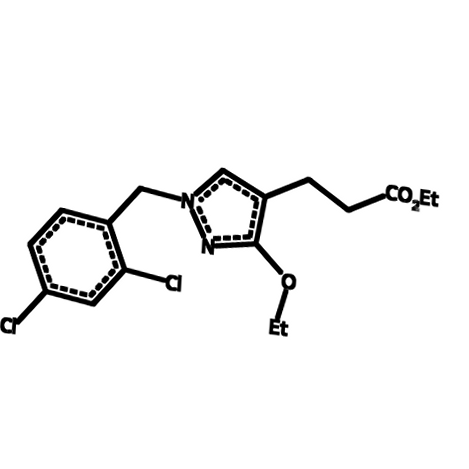 CCOC(=O)CCc1cn(Cc2ccc(Cl)cc2Cl)nc1OCC